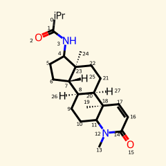 CC(C)C(=O)NC1CC[C@H]2[C@@H]3CCC4N(C)C(=O)C=C[C@]4(C)[C@@H]3CC[C@]12C